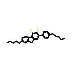 CCCCCc1ccc(-c2cc3c(c(F)c2F)-c2ccc(CCCCC)cc2C3)cc1